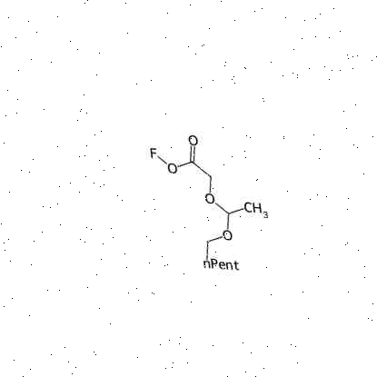 CCCCCCOC(C)OCC(=O)OF